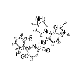 Cc1nc2c(N3CCC(C)(N)CC3)c(NC(=O)c3ccc(=O)n(-c4c(F)cccc4F)n3)ccc2n1C